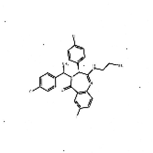 C[C@H](c1ccc(Cl)cc1)N1C(=O)c2cc(I)ccc2N=C(NCCN)[C@@H]1c1ccc(Cl)cc1